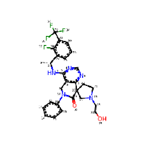 C[C@@H](Nc1ncnc2c1CN(c1ccccc1)C(=O)C21CCN(CCO)C1)c1cccc(C(F)(F)F)c1F